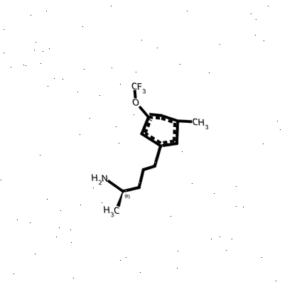 Cc1cc(CCC[C@@H](C)N)cc(OC(F)(F)F)c1